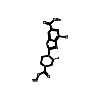 COC(=O)c1cc(Cl)c2nc(N3CCN(C(=O)OC(C)(C)C)C[C@H]3C)sc2c1